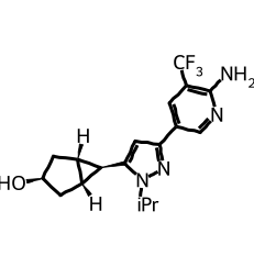 CC(C)n1nc(-c2cnc(N)c(C(F)(F)F)c2)cc1[C@H]1[C@@H]2C[C@@H](O)C[C@@H]21